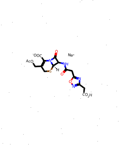 CC(=O)OCC1=C(C(=O)[O-])N2C(=O)C(NC(=O)Cc3nc(CC(=O)O)no3)[C@H]2SC1.[Na+]